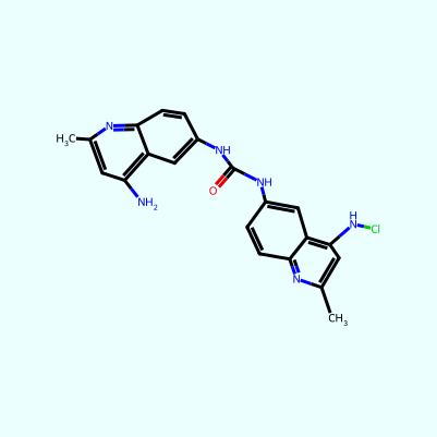 Cc1cc(N)c2cc(NC(=O)Nc3ccc4nc(C)cc(NCl)c4c3)ccc2n1